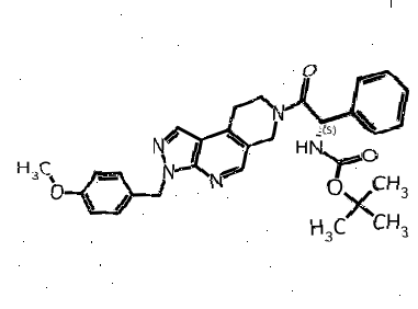 COc1ccc(Cn2ncc3c4c(cnc32)CN(C(=O)[C@@H](NC(=O)OC(C)(C)C)c2ccccc2)CC4)cc1